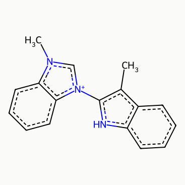 Cc1c(-[n+]2cn(C)c3ccccc32)[nH]c2ccccc12